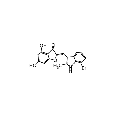 Cc1[nH]c2c(Br)cccc2c1C=C1Oc2cc(O)cc(O)c2C1=O